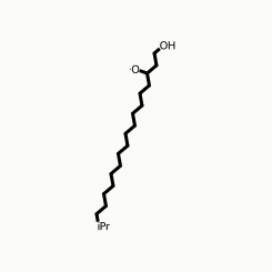 CC(C)CCCCCCCCCCCCCCC([O])CCO